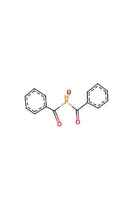 O=C(c1ccccc1)[PH](=O)C(=O)c1ccccc1